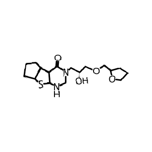 O=C1C2C(NCN1C[C@@H](O)COCC1CCCO1)SC1CCCC12